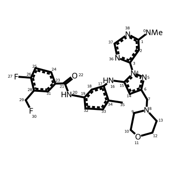 CNc1cc(-n2nc(CN3CCOCC3)cc2Nc2cc(NC(=O)c3ccc(F)c(CF)c3)ccc2C)ncn1